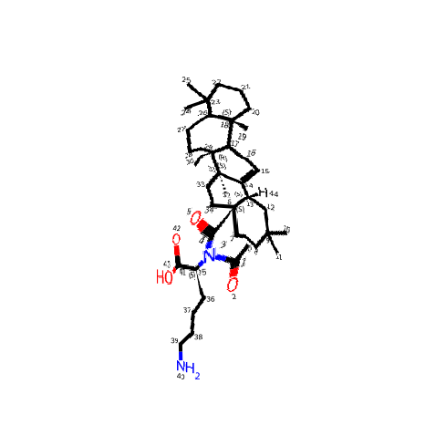 CC(=O)N(C(=O)[C@]12CCC(C)(C)C[C@H]1C1=CCC3[C@@]4(C)CCCC(C)(C)C4CC[C@@]3(C)[C@]1(C)CC2)[C@@H](CCCCN)C(=O)O